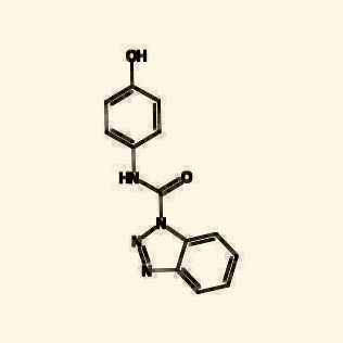 O=C(Nc1ccc(O)cc1)n1nnc2ccccc21